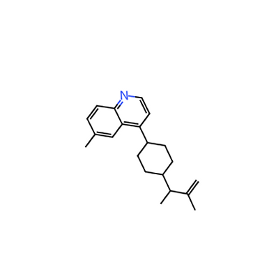 C=C(C)C(C)C1CCC(c2ccnc3ccc(C)cc23)CC1